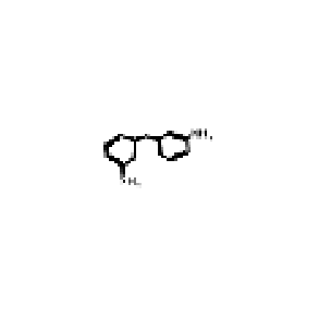 NC1=CC=CC(Cc2cccc(N)c2)C1